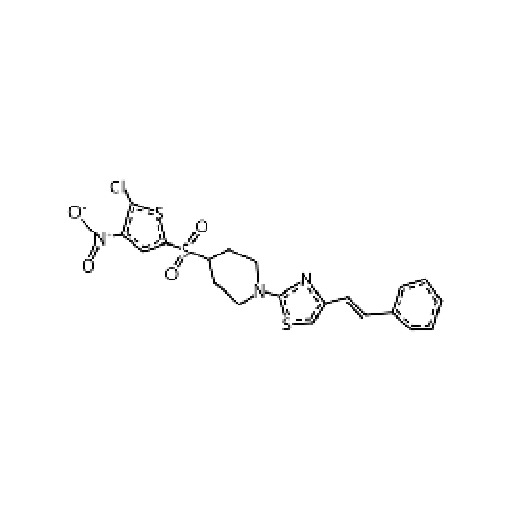 O=[N+]([O-])c1cc(S(=O)(=O)C2CCN(c3nc(C=Cc4ccccc4)cs3)CC2)sc1Cl